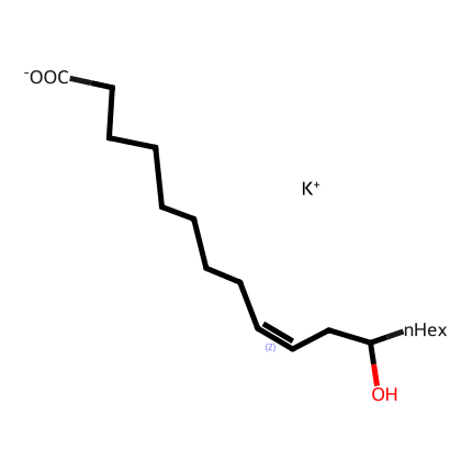 CCCCCCC(O)C/C=C\CCCCCCCC(=O)[O-].[K+]